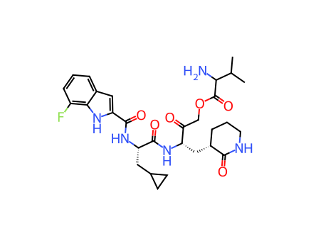 CC(C)C(N)C(=O)OCC(=O)[C@H](C[C@@H]1CCCNC1=O)NC(=O)[C@H](CC1CC1)NC(=O)c1cc2cccc(F)c2[nH]1